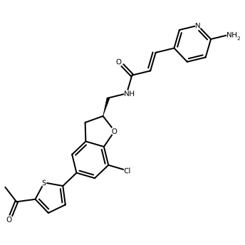 CC(=O)c1ccc(-c2cc(Cl)c3c(c2)C[C@@H](CNC(=O)C=Cc2ccc(N)nc2)O3)s1